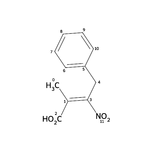 CC(C(=O)O)=C(Cc1ccccc1)[N+](=O)[O-]